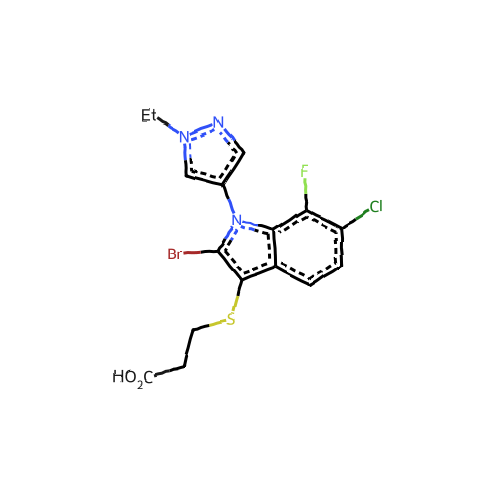 CCn1cc(-n2c(Br)c(SCCC(=O)O)c3ccc(Cl)c(F)c32)cn1